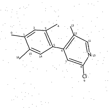 Cc1cc(C)c(-c2cc(Cl)ncc2C)cc1C